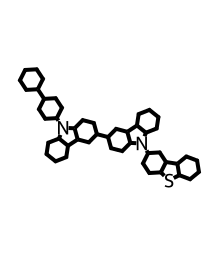 C1CCC(C2CCC(N3C4CCCCC4C4CC(C5CCC6C(C5)C5CCCCC5N6C5CCC6SC7CCCCC7C6C5)CCC43)CC2)CC1